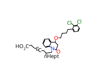 CCCCCCCC(CCCCCC(=O)O)CN1C(=O)CC(OCCCCc2cccc(Cl)c2Cl)c2ccccc21